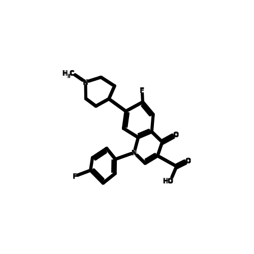 CN1CCC(c2cc3c(cc2F)c(=O)c(C(=O)O)cn3-c2ccc(F)cc2)CC1